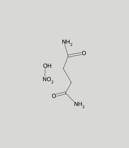 NC(=O)CCC(N)=O.O=[N+]([O-])O